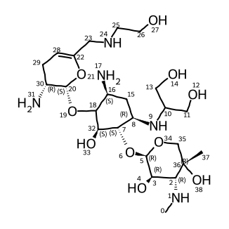 CN[C@@H]1[C@@H](O)[C@@H](O[C@H]2[C@H](NC(CO)CO)C[C@H](N)C(O[C@H]3OC(CNCCO)=CC[C@H]3N)[C@@H]2O)OC[C@]1(C)O